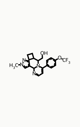 Cn1cc(C2N=CC=C(c3ccc(OC(F)(F)F)cc3)N2C(CO)C2CCC2)cn1